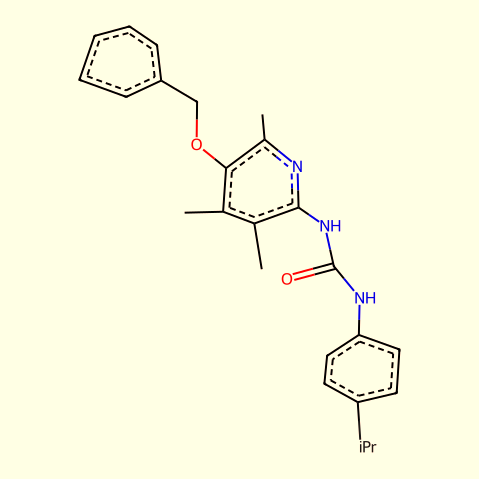 Cc1nc(NC(=O)Nc2ccc(C(C)C)cc2)c(C)c(C)c1OCc1ccccc1